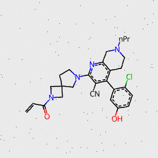 C=CC(=O)N1CC2(CCN(c3nc4c(c(-c5cc(O)ccc5Cl)c3C#N)CCN(CCC)C4)C2)C1